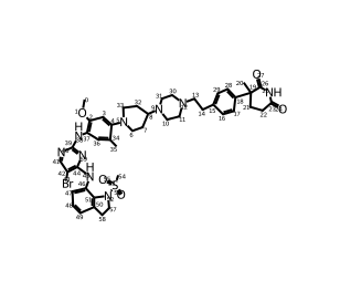 COc1cc(N2CCC(N3CCN(CCc4ccc(C5(C)CCC(=O)NC5=O)cc4)CC3)CC2)c(C)cc1Nc1ncc(Br)c(Nc2cccc3c2N(S(C)(=O)=O)CC3)n1